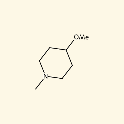 COC1CCN(C)CC1